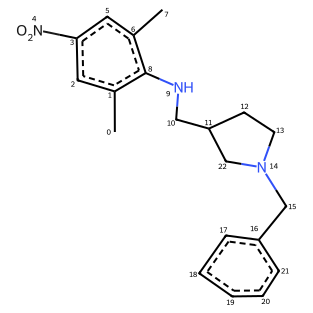 Cc1cc([N+](=O)[O-])cc(C)c1NCC1CCN(Cc2ccccc2)C1